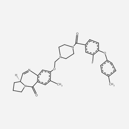 Cc1ccc(Oc2ccc(C(=O)N3CCN(COc4cc5c(cc4C)C(=O)N4CCC[C@H]4C=N5)CC3)cc2F)cc1